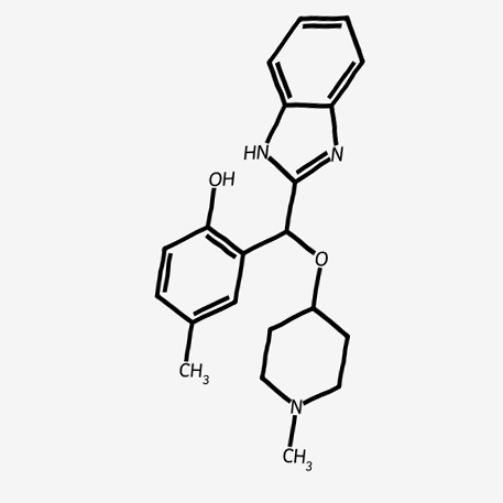 Cc1ccc(O)c(C(OC2CCN(C)CC2)c2nc3ccccc3[nH]2)c1